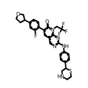 O=c1c(-c2ccc(C3CCOC3)cc2F)cc2cnc(Nc3ccc(C4CNCCS4)cc3)nc2n1CC(F)(F)F